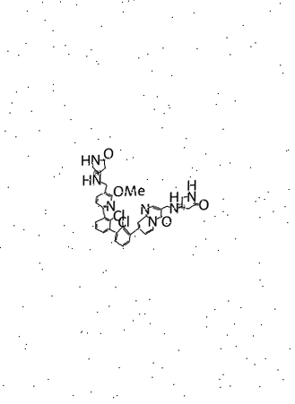 COc1nc(-c2cccc(-c3cccc(-c4ccn5c(=O)c(CN[C@H]6CNC(=O)C6)cnc5c4)c3Cl)c2Cl)ccc1CN[C@H]1CNC(=O)C1